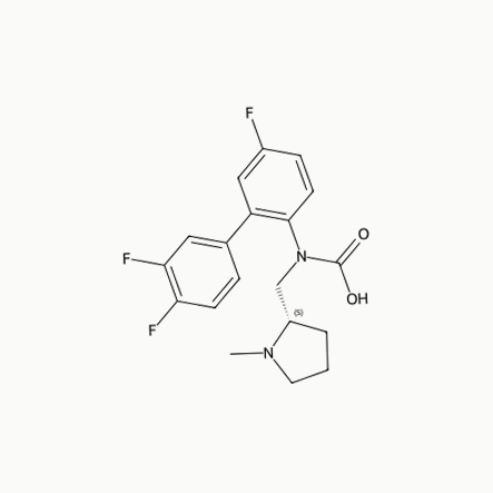 CN1CCC[C@H]1CN(C(=O)O)c1ccc(F)cc1-c1ccc(F)c(F)c1